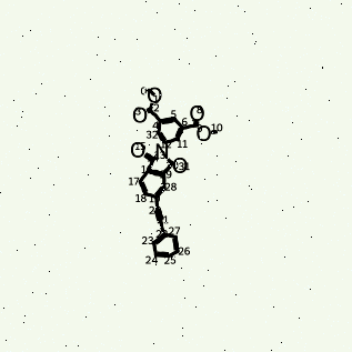 COC(=O)c1cc(C(=O)OC)cc(N2C(=O)c3ccc(C#Cc4ccccc4)cc3C2=O)c1